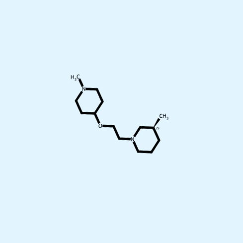 C[C@H]1CCCN(CCOC2CCN(C)CC2)C1